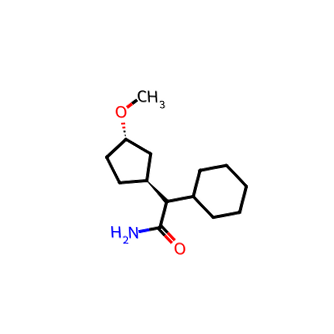 CO[C@H]1CC[C@H](C(C(N)=O)C2CCCCC2)C1